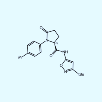 CC(C)c1ccc(N2C(=O)CC[C@H]2C(=O)Nc2cc(C(C)(C)C)no2)cc1